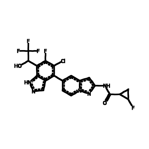 O=C(Nc1cc2cc(-c3c(Cl)c(F)c(C(O)C(F)(F)F)c4[nH]ncc34)ccn2n1)C1CC1F